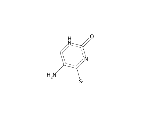 Nc1c[nH]c(=O)nc1[S]